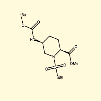 CCCCS(=O)(=O)N1C[C@@H](NC(=O)OC(C)(C)C)CC[C@H]1C(=O)OC